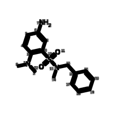 CN(C)c1ccc(N)cc1S(=O)(=O)N(C)Cc1ccccc1